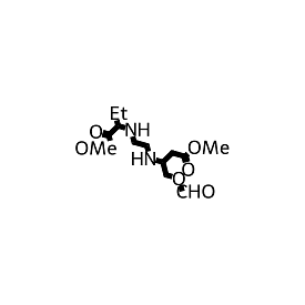 CCC(NCCNC(COC=O)CC(=O)OC)C(=O)OC